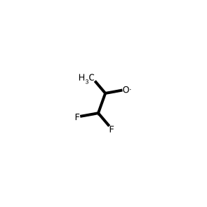 CC([O])[C](F)F